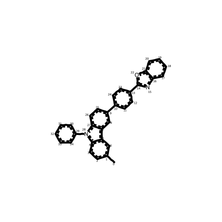 Cc1ccc2c(c1)c1cc(-c3ccc(-c4nc5ccccc5o4)cc3)ccc1n2-c1ccccc1